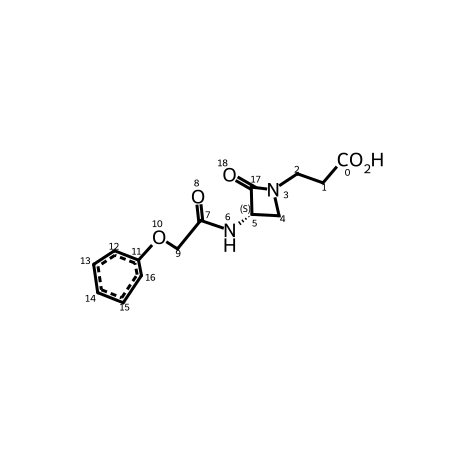 O=C(O)CCN1C[C@H](NC(=O)COc2ccccc2)C1=O